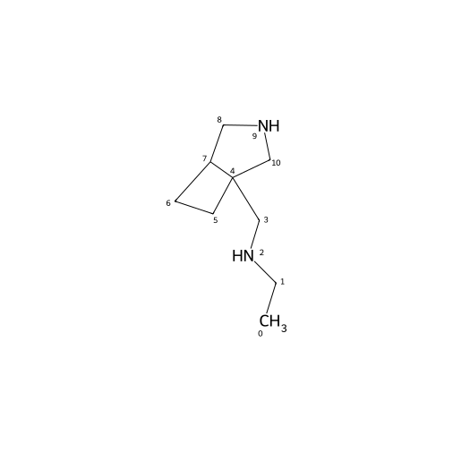 CCNCC12CCC1CNC2